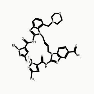 CCn1nc(C)cc1C(=O)Nc1nc2cc(C(N)=O)ccc2n1CC=CCn1c(NC(=O)c2cc(C)nn2CC)nc2cccc(CN3CCOCC3)c21